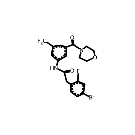 O=C(Cc1ccc(Br)cc1F)Nc1cc(C(=O)N2CCOCC2)cc(C(F)(F)F)c1